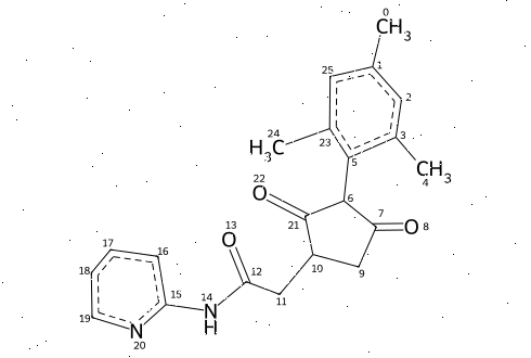 Cc1cc(C)c(C2C(=O)CC(CC(=O)Nc3ccccn3)C2=O)c(C)c1